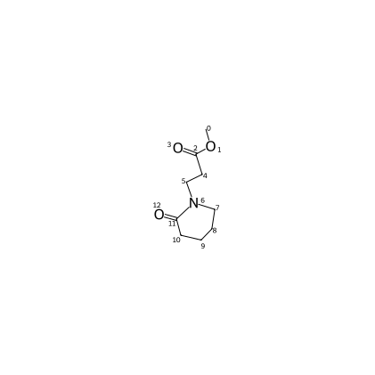 COC(=O)CCN1CCCCC1=O